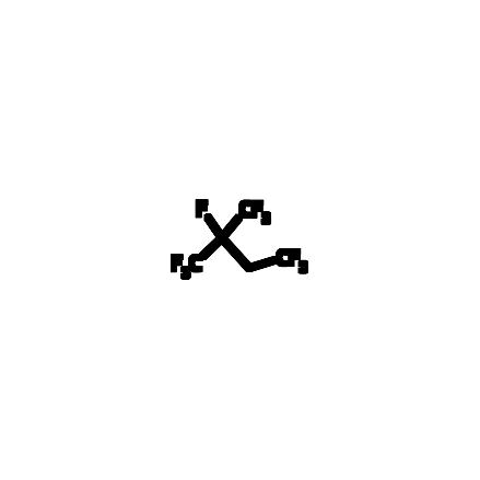 FC(F)(F)CC(F)(C(F)(F)F)C(F)(F)F